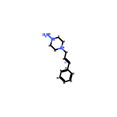 NN1CCN(C/C=C/c2ccccc2)CC1